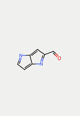 O=CC1=NC2=CC=NC2=C1